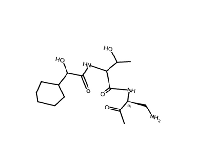 CC(=O)[C@H](CN)NC(=O)C(NC(=O)C(O)C1CCCCC1)C(C)O